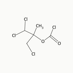 CC(CCl)(OC(=O)Cl)C(Cl)Cl